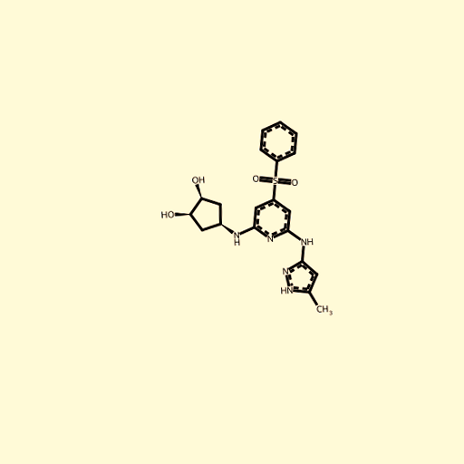 Cc1cc(Nc2cc(S(=O)(=O)c3ccccc3)cc(N[C@H]3C[C@@H](O)[C@@H](O)C3)n2)n[nH]1